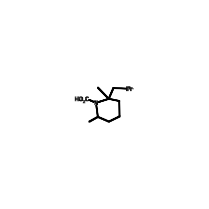 C[C](C)CC1(C)CCCC(C)N1C(=O)O